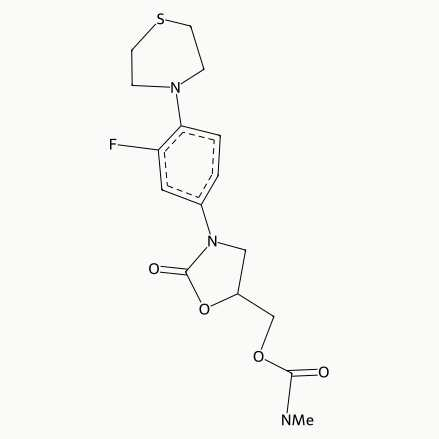 CNC(=O)OCC1CN(c2ccc(N3CCSCC3)c(F)c2)C(=O)O1